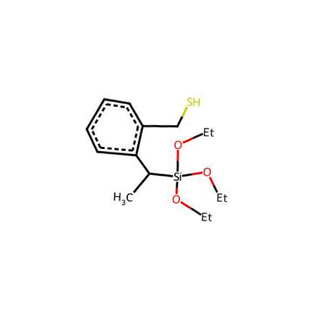 CCO[Si](OCC)(OCC)C(C)c1ccccc1CS